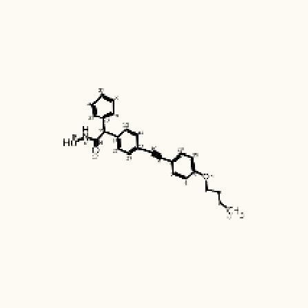 CCCCOc1ccc(C#Cc2ccc(C(C(=O)NO)c3ccccc3)cc2)cc1